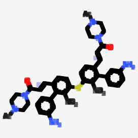 CC(=O)N1CCN(C(=O)/C=C/c2ccc(Sc3ccc(/C=C/C(=O)N4CCN(C(C)=O)CC4)c(-c4cccc(N)c4)c3[N+](=O)[O-])c([N+](=O)[O-])c2-c2cccc(N)c2)CC1